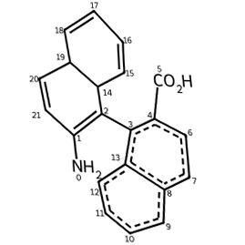 NC1=C(c2c(C(=O)O)ccc3ccccc23)C2C=CC=CC2C=C1